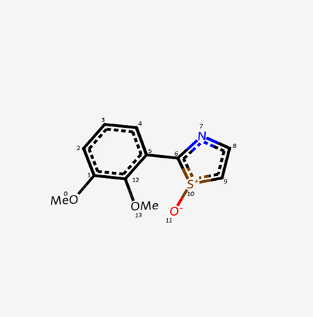 COc1cccc(-c2ncc[s+]2[O-])c1OC